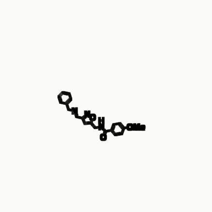 COc1ccc(C(=O)NCc2cc(/C=N/Cc3ccccc3)no2)cc1